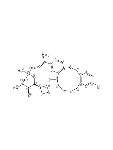 COC(=O)c1ccc2c(c1)N(C[C@@H]1CC[C@H]1C(O[Si](C)(C)C(C)(C)C)[C@@H](O)CO)CCCCc1cc(Cl)ccc1CO2